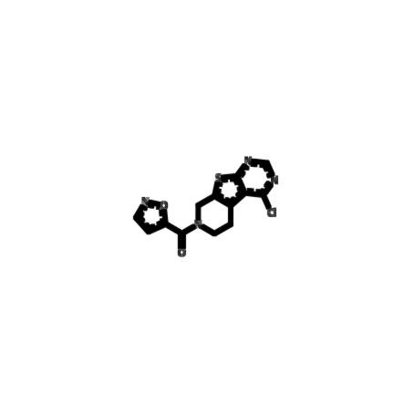 O=C(c1ccno1)N1CCc2c(sc3ncnc(Cl)c23)C1